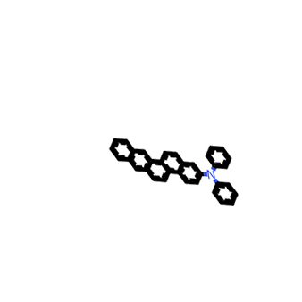 c1ccc(N(c2ccccc2)c2ccc3c(ccc4c5cc6ccccc6cc5ccc34)c2)cc1